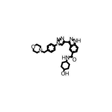 O=C(NC1CCC(O)CC1)c1ccc2[nH]nc(-c3cn(-c4ccc(CN5CCOCC5)cc4)nn3)c2c1